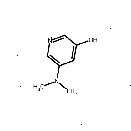 CN(C)c1cncc(O)c1